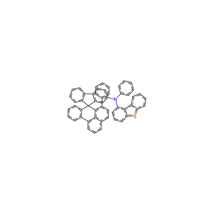 c1ccc(-c2ccc3cccc4c3c2C2(c3ccccc3-c3ccc(N(c5ccccc5)c5cccc6sc7ccccc7c56)cc32)c2ccccc2-4)cc1